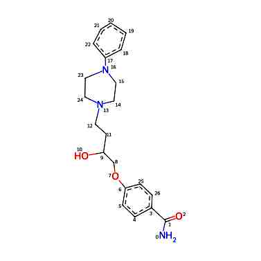 NC(=O)c1ccc(OCC(O)CCN2CCN(c3ccccc3)CC2)cc1